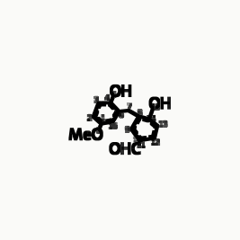 COc1ccc(O)c(Cc2cc(C=O)ccc2O)c1